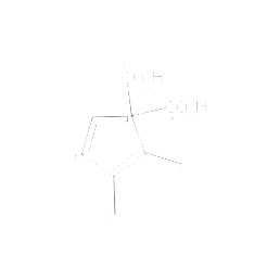 CC1=C(C)C(C(=O)O)(C(=O)O)C=C1